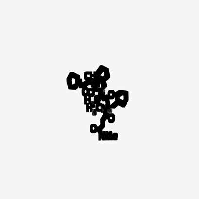 CNC(=O)CCC(=O)N(C)[C@@H](Cc1ccccc1)C(=O)N(C)[C@@H](Cc1ccccc1)C(=O)N[C@@H](C)C(=O)N1CCCCC1